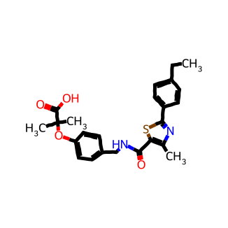 CCc1ccc(-c2nc(C)c(C(=O)NCc3ccc(OC(C)(C)C(=O)O)cc3)s2)cc1